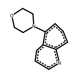 c1cc(N2CCOCC2)c2cccnc2c1